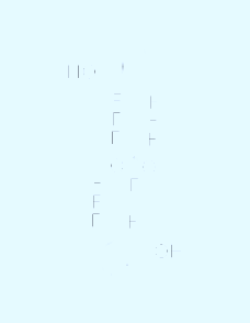 O=C(OC(F)(F)C(F)(F)C(F)(F)c1ccccc1CO)C(F)(F)C(F)(F)C(F)(F)c1ccccc1CO